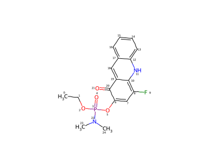 CCOP(=O)(Oc1cc(F)c2[nH]c3ccccc3cc-2c1=O)N(C)C